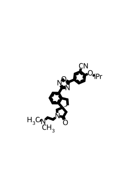 CC(C)Oc1ccc(-c2nc(-c3cccc4c3CC[C@@]43CC(=O)N(CCN(C)C)C3)no2)cc1C#N